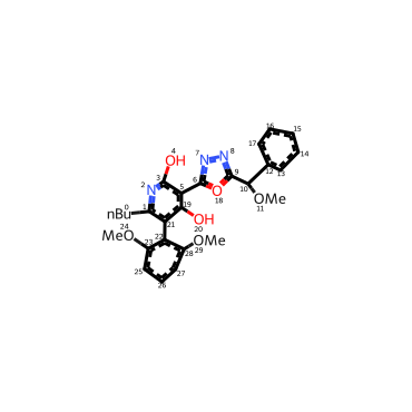 CCCCc1nc(O)c(-c2nnc(C(OC)c3ccccc3)o2)c(O)c1-c1c(OC)cccc1OC